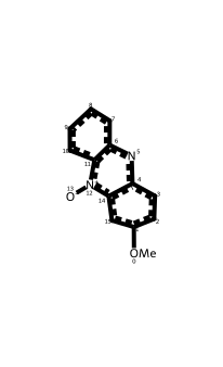 COc1ccc2nc3ccccc3[n+]([O-])c2c1